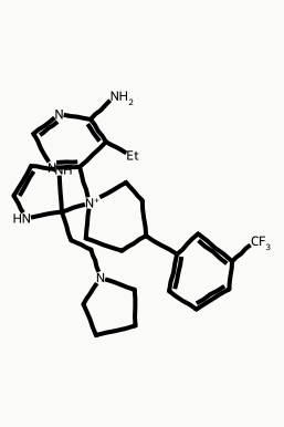 CCc1c(N)ncnc1[N+]1(C2(CCN3CCCC3)NC=CN2)CCC(c2cccc(C(F)(F)F)c2)CC1